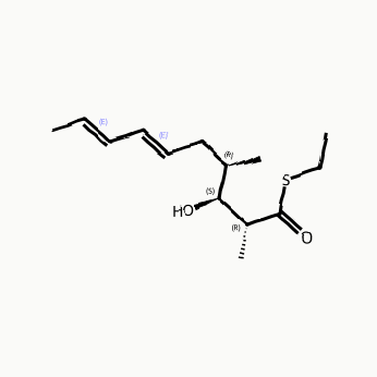 C/C=C/C=C/C[C@@H](C)[C@H](O)[C@@H](C)C(=O)SCC